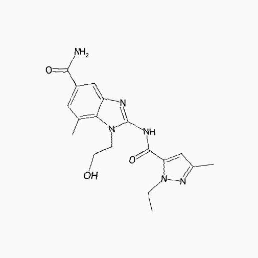 CCn1nc(C)cc1C(=O)Nc1nc2cc(C(N)=O)cc(C)c2n1CCO